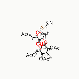 CC(=O)OCC1O[C@@H](SCC#N)[C@@H](C)C(O[C@@H]2OC(COC(C)=O)[C@H](OC(C)=O)C(C)[C@@H]2OC(C)=O)[C@@H]1O